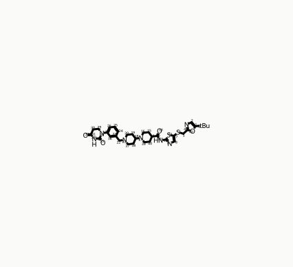 CC(C)(C)c1cnc(CSc2cnc(NC(=O)C3CCN(C4CCN(Cc5cccc(N6CCC(=O)NC6=O)c5)CC4)CC3)s2)o1